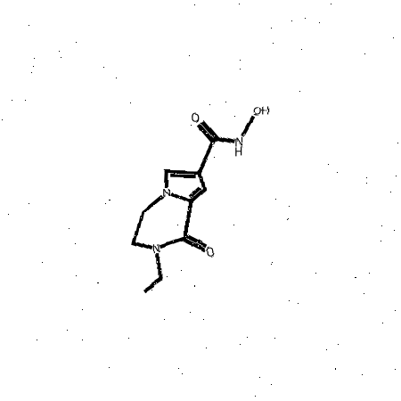 CCN1CCn2cc(C(=O)NO)cc2C1=O